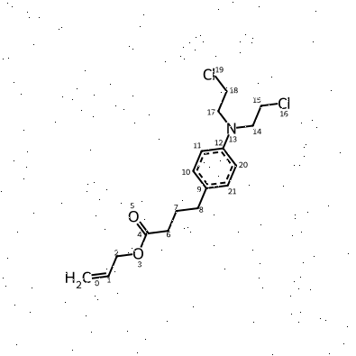 C=CCOC(=O)CCCc1ccc(N(CCCl)CCCl)cc1